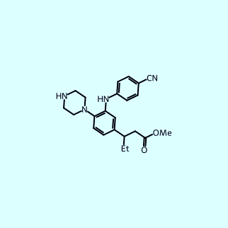 CCC(CC(=O)OC)c1ccc(N2CCNCC2)c(Nc2ccc(C#N)cc2)c1